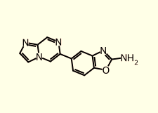 Nc1nc2cc(-c3cn4ccnc4cn3)ccc2o1